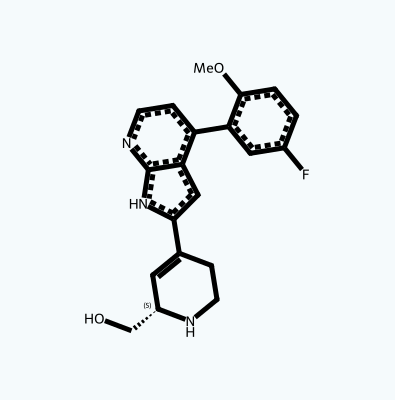 COc1ccc(F)cc1-c1ccnc2[nH]c(C3=C[C@@H](CO)NCC3)cc12